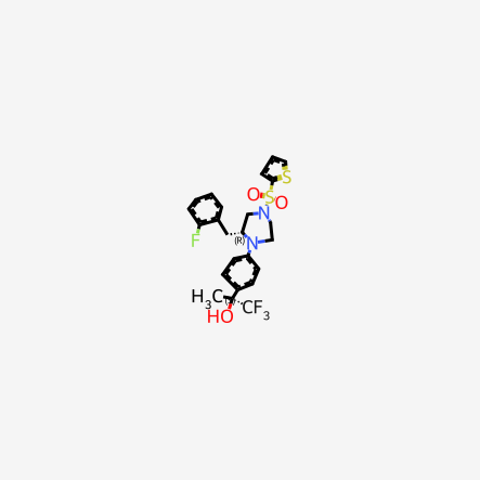 C[C@](O)(c1ccc(N2CCN(S(=O)(=O)c3cccs3)C[C@H]2Cc2ccccc2F)cc1)C(F)(F)F